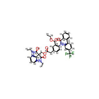 CCNC(=O)C(COC(=O)Cc1ccc(NC(=O)c2ccccc2-c2ccc(C(F)(F)F)cc2)c(C(=O)OCC)c1)(C(=O)NCC)c1ccccc1